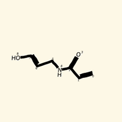 C=CC(=O)NC/C=C/O